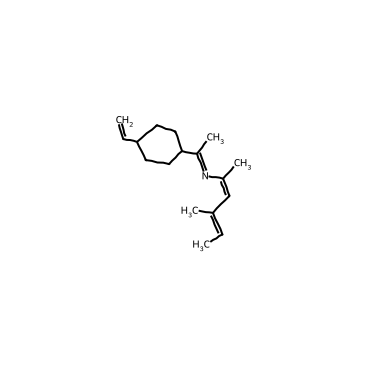 C=CC1CCC(/C(C)=N/C(C)=C\C(C)=C\C)CC1